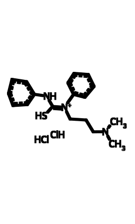 CN(C)CCC[N+](=C(S)Nc1ccccc1)c1ccccc1.Cl.Cl